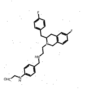 O=CCNc1ccc(CNCCN2Cc3ccc(F)cc3CC2Cc2ccc(F)cc2)cc1